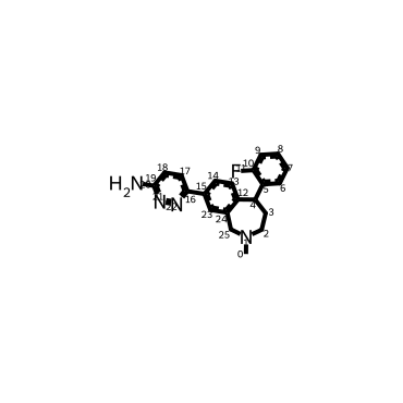 CN1CCC(c2ccccc2F)c2ccc(-c3ccc(N)nn3)cc2C1